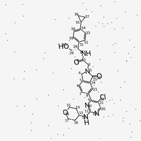 O=C(CN1Cc2ccc(-c3nc(NC4CCOCC4)ncc3Cl)cc2C1=O)N[C@H](CO)c1ccc(C2CC2)cc1